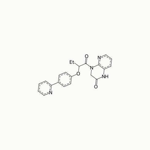 CCC(Oc1ccc(-c2ccccn2)cc1)C(=O)N1CC(=O)Nc2cccnc21